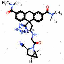 C[C@H](CC1(c2nn[nH]n2)c2ccc(C(=O)N(C)C)cc2Cc2cc(C(=O)N(C)C)ccc21)NCC(=O)N1[C@H](C#N)C[C@@H]2C[C@@H]21